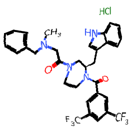 CN(CC(=O)N1CCN(C(=O)c2cc(C(F)(F)F)cc(C(F)(F)F)c2)[C@H](Cc2c[nH]c3ccccc23)C1)Cc1ccccc1.Cl